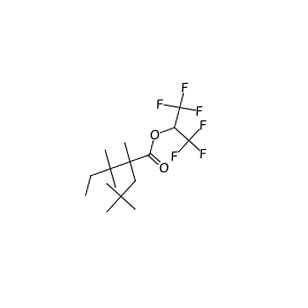 CCC(C)(C)C(C)(CC(C)(C)C)C(=O)OC(C(F)(F)F)C(F)(F)F